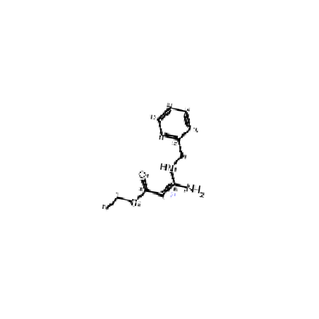 CCOC(=O)/C=C(/N)NCc1ccccc1